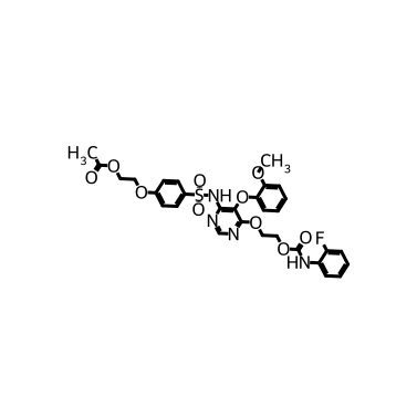 COc1ccccc1Oc1c(NS(=O)(=O)c2ccc(OCCOC(C)=O)cc2)ncnc1OCCOC(=O)Nc1ccccc1F